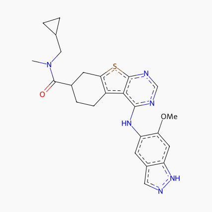 COc1cc2[nH]ncc2cc1Nc1ncnc2sc3c(c12)CCC(C(=O)N(C)CC1CC1)C3